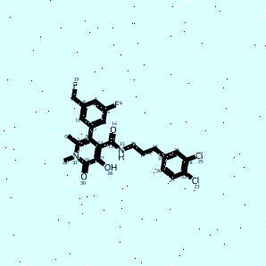 Cc1c(-c2cc(F)cc(CF)c2)c(C(=O)NCCCc2ccc(Cl)c(Cl)c2)c(O)c(=O)n1C